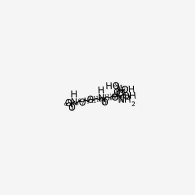 COC(=O)NCCOCCOCCCNC(=O)CCCOC1OC(CO)C(O)C(O)C1N